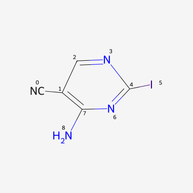 N#Cc1cnc(I)nc1N